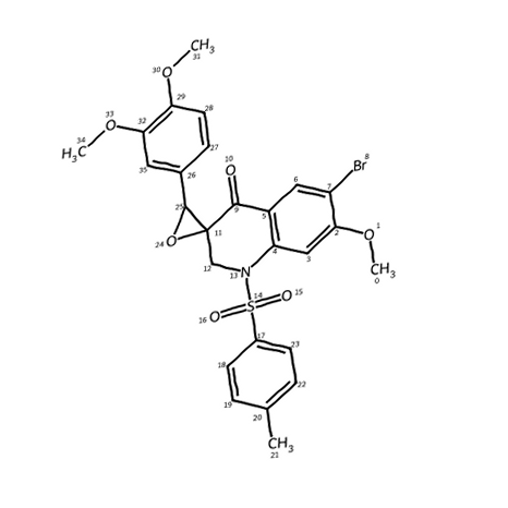 COc1cc2c(cc1Br)C(=O)C1(CN2S(=O)(=O)c2ccc(C)cc2)OC1c1ccc(OC)c(OC)c1